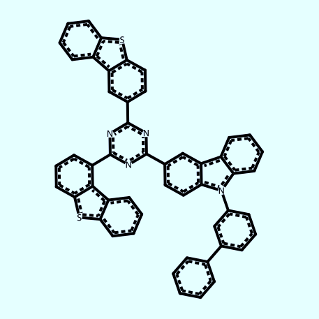 c1ccc(-c2cccc(-n3c4ccccc4c4cc(-c5nc(-c6ccc7sc8ccccc8c7c6)nc(-c6cccc7sc8ccccc8c67)n5)ccc43)c2)cc1